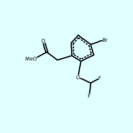 COC(=O)Cc1ccc(Br)cc1OC(F)F